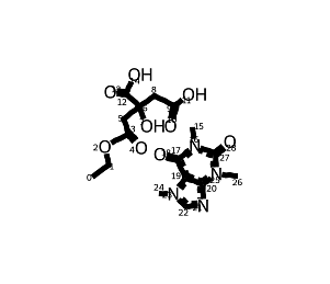 CCOC(=O)CC(O)(CC(=O)O)C(=O)O.Cn1c(=O)c2c(ncn2C)n(C)c1=O